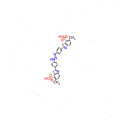 Cc1ccc2nc(-c3ccc(/N=N/Nc4ccc(-c5nc6ccc(C)c(S(=O)(=O)O)c6s5)cc4)cc3)sc2c1S(=O)(=O)O